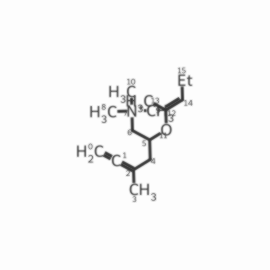 C=C=C(C)CC(C[N+](C)(C)C)O/C(C)=C/CC